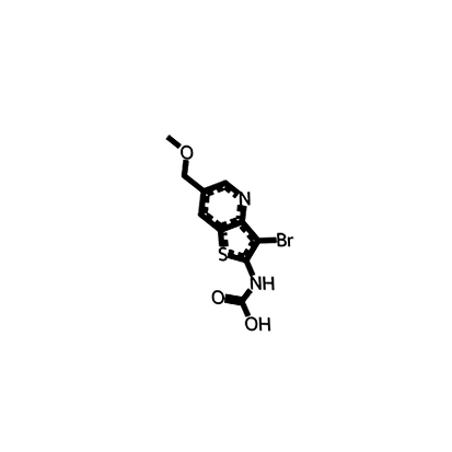 COCc1cnc2c(Br)c(NC(=O)O)sc2c1